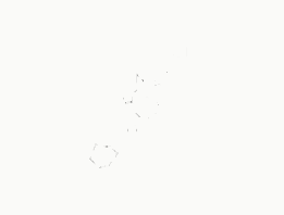 CC(OC(=O)OCc1ccccc1)[C@H]1C(=O)N[C@H]1C(C)CO